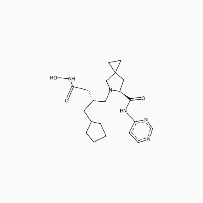 O=C(C[C@@H](CC1CCCC1)CN1CC2(CC2)C[C@H]1C(=O)Nc1ccncn1)NO